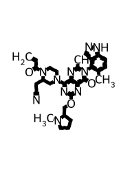 C=CC(=O)N1CCN(c2nc(OCC3CCCN3C)nc3c(=O)n(-c4c(C)ccc5[nH]ncc45)c(C)nc23)CC1CC#N